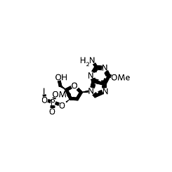 COc1nc(N)nc2c1ncn2[C@H]1C[C@H](OP(=O)(OC)OI)[C@@H](CO)O1